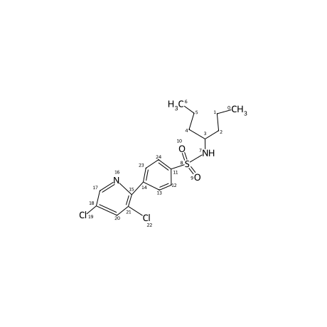 CCCC(CCC)NS(=O)(=O)c1ccc(-c2ncc(Cl)cc2Cl)cc1